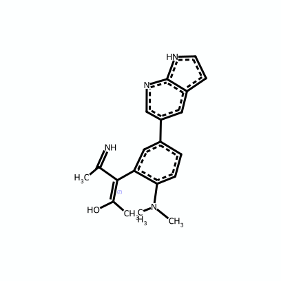 CC(=N)/C(=C(/C)O)c1cc(-c2cnc3[nH]ccc3c2)ccc1N(C)C